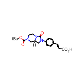 CC(C)(C)OC(=O)N1CCN2C(=O)N(c3ccc(/C=C/C(=O)O)cc3)C[C@@H]2C1